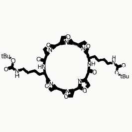 CC(C)(C)OC(=O)NCCCCC1NC(=O)c2coc(n2)-c2coc(n2)-c2coc(n2)C(CCCCNC(=O)OC(C)(C)C)NC(=O)c2coc(n2)-c2coc(n2)-c2coc1n2